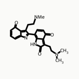 CNCCC1=C2C(=O)C=CC=C2N=C1C1=C2NC(=O)C(CCN(C)C)=C2C(=O)C=C1